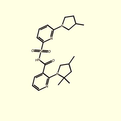 CC1CCN(c2cccc(S(=O)(=O)NC(=O)c3cccnc3N3CC(C)CC3(C)C)n2)C1